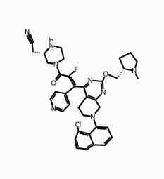 CN1CCC[C@H]1COc1nc2c(c(/C(=C(\F)C(=O)N3CCN[C@@H](CC#N)C3)c3ccncc3)n1)CCN(c1cccc3cccc(Cl)c13)C2